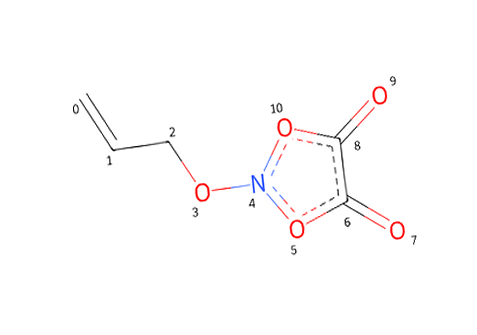 C=CCOn1oc(=O)c(=O)o1